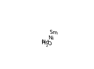 O.[Nd].[Ni].[Sm]